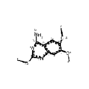 COc1cc2nc(SC)nc(N)c2cc1OC